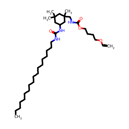 C=COCCCCOC(=O)NCC1(C)CC(NC(=O)NCCCCCCCCCCCCCCCCCC)CC(C)(C)C1